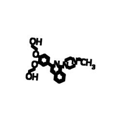 CCN1CCN(c2nc(-c3ccc(OCCO)c(OCCO)c3)cc3ccccc23)CC1